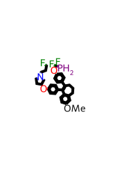 COc1ccc2c(c1)CCCC(c1ccc(OC(F)(F)P)cc1)=C2c1ccc(O[C@H]2CCN(CCCF)C2)cc1